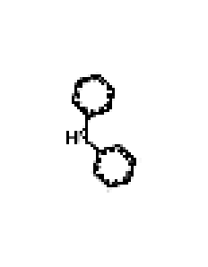 [c]1c[c]cc(Nc2ccccc2)c1